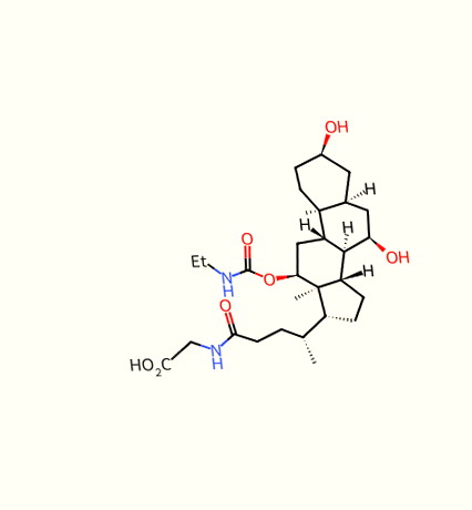 CCNC(=O)O[C@H]1C[C@H]2[C@@H]([C@H](O)C[C@@H]3C[C@H](O)CC[C@@]32C)[C@@H]2CC[C@H]([C@H](C)CCC(=O)NCC(=O)O)[C@@]12C